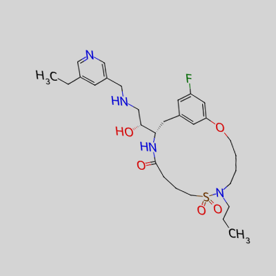 CCCN1CCCCOc2cc(F)cc(c2)C[C@@H]([C@H](O)CNCc2cncc(CC)c2)NC(=O)CCCS1(=O)=O